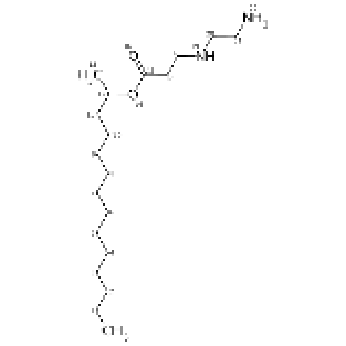 CCCCCCCCCCCCC(C)OC(=O)CCNCCN